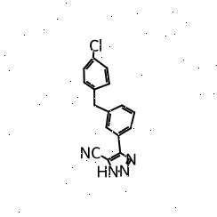 N#Cc1[nH]nnc1-c1cccc(Cc2ccc(Cl)cc2)c1